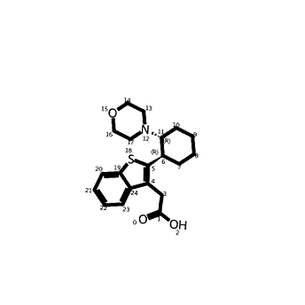 O=C(O)Cc1c([C@@H]2CCCC[C@H]2N2CCOCC2)sc2ccccc12